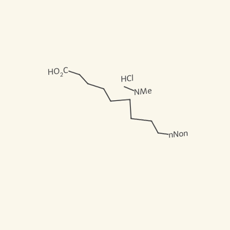 CCCCCCCCCCCCCCCCCC(=O)O.CNC.Cl